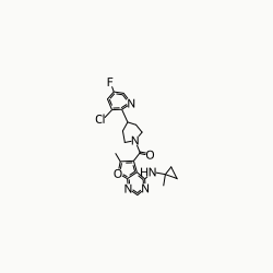 Cc1oc2ncnc(NC3(C)CC3)c2c1C(=O)N1CCC(c2ncc(F)cc2Cl)CC1